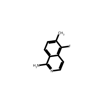 Cc1ccc2c(N)nccc2c1F